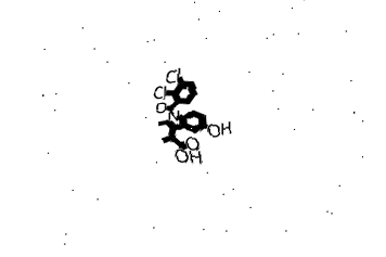 Cc1c(C(C)C(=O)O)c2cc(O)ccc2n1C(=O)c1cccc(Cl)c1Cl